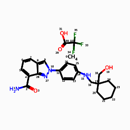 C.NC(=O)c1cccc2cn(-c3ccc(NCC4(CO)CCCCC4)cc3)nc12.O=C(O)C(F)(F)F